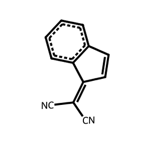 N#CC(C#N)=C1C=Cc2ccccc21